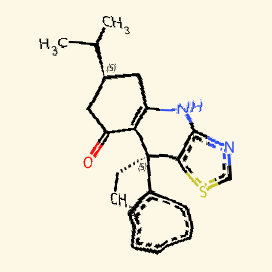 CC[C@]1(c2ccccc2)C2=C(C[C@H](C(C)C)CC2=O)Nc2ncsc21